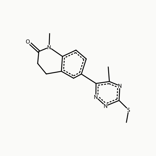 CSc1nnc(-c2ccc3c(c2)CCC(=O)N3C)c(C)n1